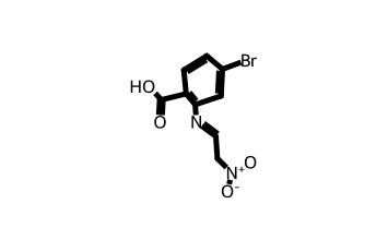 O=C(O)c1ccc(Br)cc1N=CC[N+](=O)[O-]